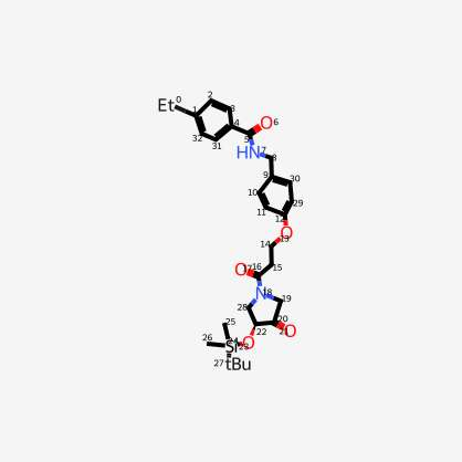 CCc1ccc(C(=O)NCc2ccc(OCCC(=O)N3CC(=O)[C@@H](O[Si](C)(C)C(C)(C)C)C3)cc2)cc1